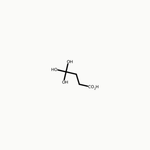 O=C(O)CCC(O)(O)O